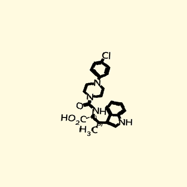 C[C@@H](c1c[nH]c2ccccc12)[C@@H](NC(=O)N1CCN(c2ccc(Cl)cc2)CC1)C(=O)O